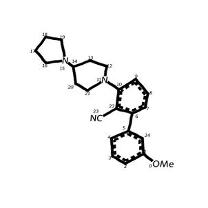 COc1cccc(-c2cccc(N3CCC(N4CCCC4)CC3)c2C#N)c1